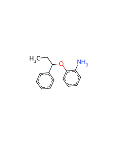 CCC(Oc1ccccc1N)c1ccccc1